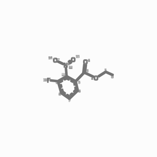 CCOC(=O)c1cccc(F)c1[N+](=O)[O-]